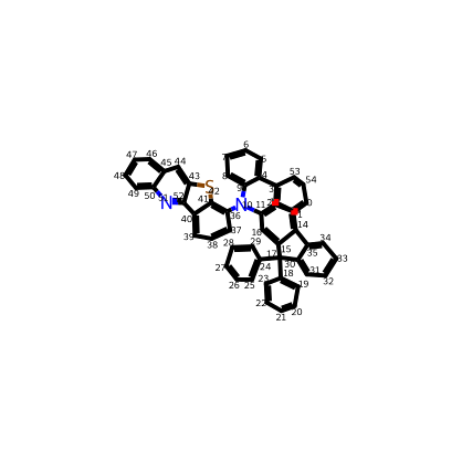 c1ccc(-c2ccccc2N(c2ccc3c(c2)C(c2ccccc2)(c2ccccc2)c2ccccc2-3)c2cccc3c2sc2cc4ccccc4nc23)cc1